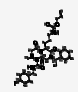 C=CCOC(=O)NCCC[C@H]1C(=O)N(C(C)c2ccccc2)C[C@H]2N1C(=O)CN(C)N2C(=O)NCc1ccc(F)cc1